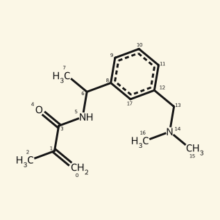 C=C(C)C(=O)NC(C)c1cccc(CN(C)C)c1